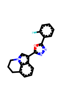 Fc1ccccc1-c1nnc(-c2cn3c4c(cccc24)CCC3)o1